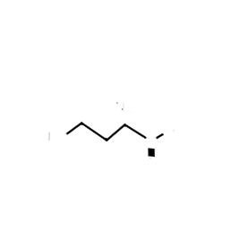 O=S(O)CCCS.[Na]